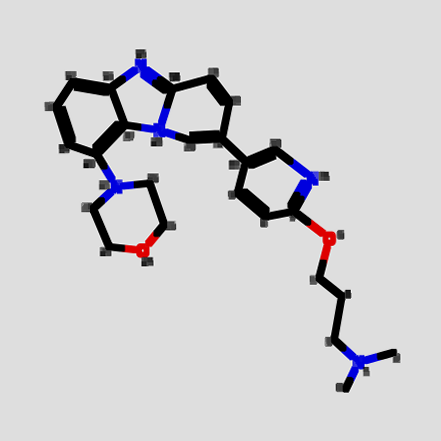 CN(C)CCCOc1ccc(-c2ccc3nc4cccc(N5CCOCC5)c4n3c2)cn1